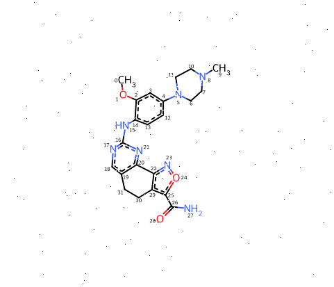 COc1cc(N2CCN(C)CC2)ccc1Nc1ncc2c(n1)-c1noc(C(N)=O)c1CC2